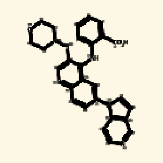 O=C(O)c1ccccc1Nc1c(SN2CCOCC2)cnc2ccc(-n3ccc4cnccc43)cc12